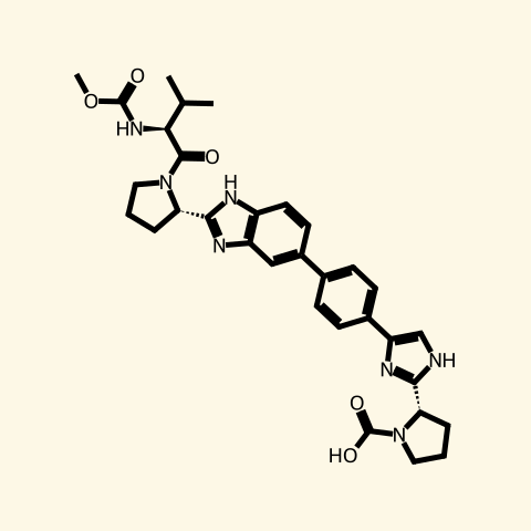 COC(=O)N[C@H](C(=O)N1CCC[C@H]1c1nc2cc(-c3ccc(-c4c[nH]c([C@@H]5CCCN5C(=O)O)n4)cc3)ccc2[nH]1)C(C)C